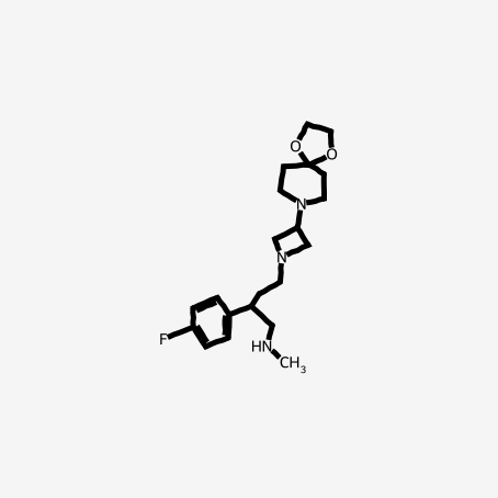 CNCC(CCN1CC(N2CCC3(CC2)OCCO3)C1)c1ccc(F)cc1